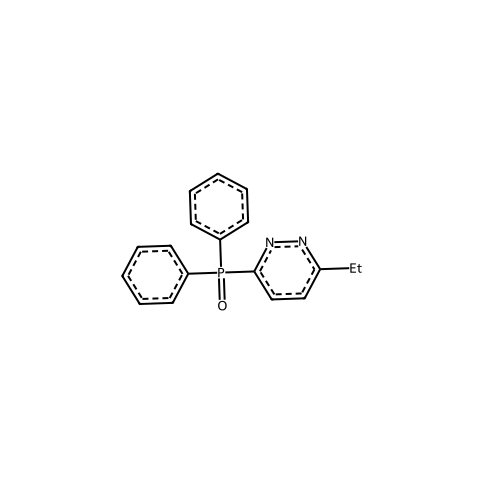 CCc1ccc(P(=O)(c2ccccc2)c2ccccc2)nn1